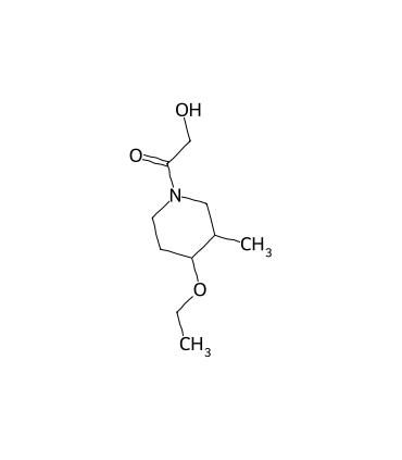 CCOC1CCN(C(=O)CO)CC1C